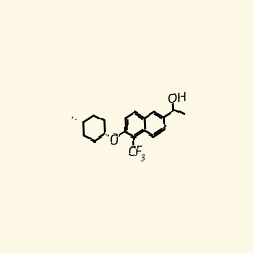 CC(O)c1ccc2c(C(F)(F)F)c(O[C@H]3CC[C@@H](C)CC3)ccc2c1